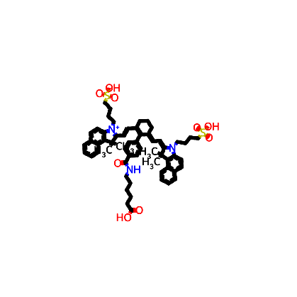 CC1(C)C(/C=C/C2=C(c3ccc(C(=O)NCCCCCC(=O)O)cc3)C(=C/C=C3/N(CCCCS(=O)(=O)O)c4ccc5ccccc5c4C3(C)C)/CCC2)=[N+](CCCCS(=O)(=O)O)c2ccc3ccccc3c21